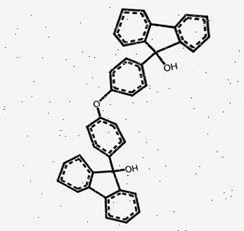 OC1(c2ccc(Oc3ccc(C4(O)c5ccccc5-c5ccccc54)cc3)cc2)c2ccccc2-c2ccccc21